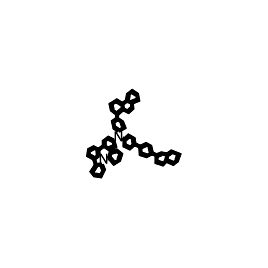 c1ccc(-n2c3ccccc3c3cccc(-c4ccc(N(c5ccc(-c6ccc(-c7ccc8ccccc8c7)cc6)cc5)c5ccc(-c6cccc7c6ccc6ccccc67)cc5)cc4)c32)cc1